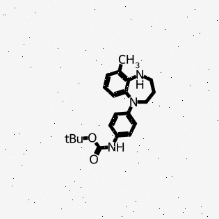 Cc1cccc2c1NCCCN2c1ccc(NC(=O)OC(C)(C)C)cc1